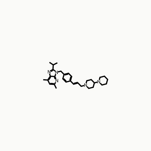 Cc1cc(C)c2nc(C(C)C)n(Cc3ccc(/C=C/CN4CCC(N5CCCCC5)CC4)cc3)c2n1